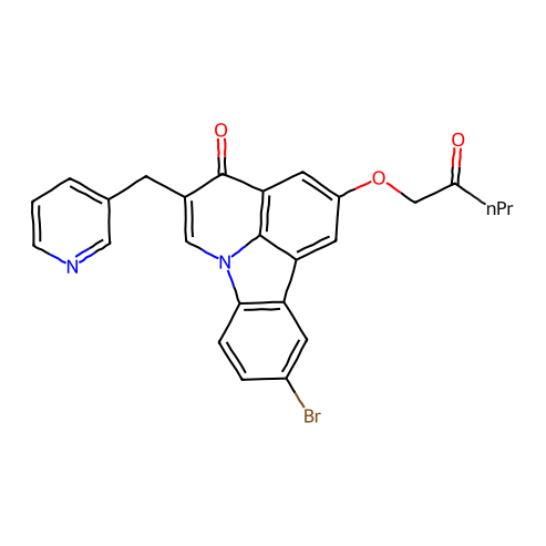 CCCC(=O)COc1cc2c(=O)c(Cc3cccnc3)cn3c4ccc(Br)cc4c(c1)c23